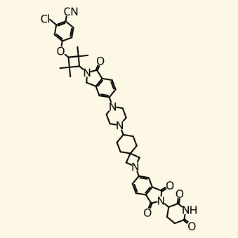 CC1(C)C(Oc2ccc(C#N)c(Cl)c2)C(C)(C)C1N1Cc2cc(N3CCN(C4CCC5(CC4)CN(c4ccc6c(c4)C(=O)N(C4CCC(=O)NC4=O)C6=O)C5)CC3)ccc2C1=O